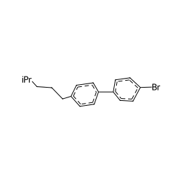 CC(C)CCCc1ccc(-c2ccc(Br)cc2)cc1